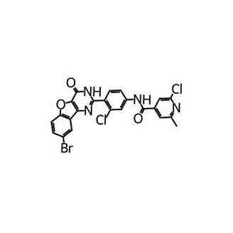 Cc1cc(C(=O)Nc2ccc(-c3nc4c(oc5ccc(Br)cc54)c(=O)[nH]3)c(Cl)c2)cc(Cl)n1